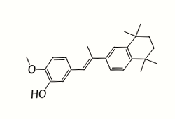 COc1ccc(C=C(C)c2ccc3c(c2)C(C)(C)CCC3(C)C)cc1O